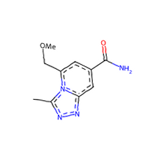 COCc1cc(C(N)=O)cc2nnc(C)n12